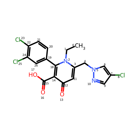 CCn1c(Cn2cc(Cl)cn2)cc(=O)c(C(=O)O)c1-c1ccc(Cl)c(Cl)c1